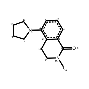 O=C1c2cccc(N3CCCC3)c2CCN1I